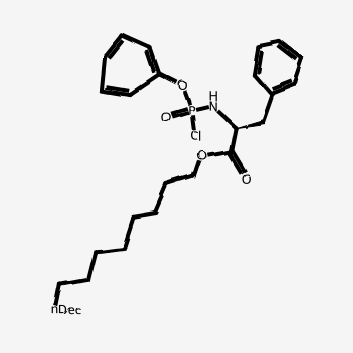 CCCCCCCCCCCCCCCCCCOC(=O)[C@H](Cc1ccccc1)NP(=O)(Cl)Oc1ccccc1